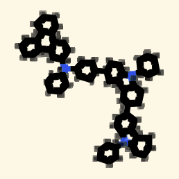 c1ccc(N(c2ccc(-c3ccc4c(c3)c3cc(-c5ccc6c(c5)c5ccccc5n6-c5ccccc5)ccc3n4-c3ccccc3)cc2)c2ccc3c4ccccc4c4ccccc4c3c2)cc1